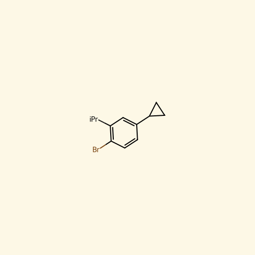 [CH2]C(C)c1cc(C2CC2)ccc1Br